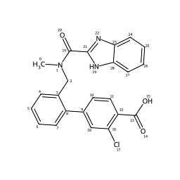 CN(Cc1ccccc1-c1ccc(C(=O)O)c(Cl)c1)C(=O)c1nc2ccccc2[nH]1